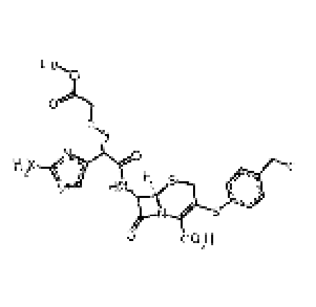 CC(C)(C)OC(=O)CO/N=C(/C(=O)N[C@@H]1C(=O)N2C(C(=O)O)=C(Sc3ccc(CCl)cc3)CS[C@H]12)c1csc(N)n1